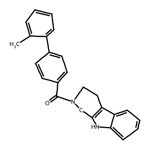 Cc1ccccc1-c1ccc(C(=O)N2CCc3c([nH]c4ccccc34)C2)cc1